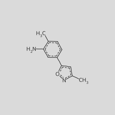 Cc1cc(-c2ccc(C)c(N)c2)on1